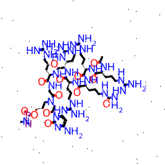 CC(=O)N[C@@H](CCCNC(=N)N)C(=O)N[C@@H](CCCNC(=N)N)C(=O)N[C@@H](CCCNC(N)=O)C(=O)N[C@@H](CCCNC(=N)N)C(=O)N[C@@H](CCCNC(=N)N)C(=O)N[C@@H](CCCNC(=N)N)C(=O)NCC(=O)N1C[C@@H](CO[PH](=O)N(C)C)O[C@@H](n2ccc(N)nc2=O)C1